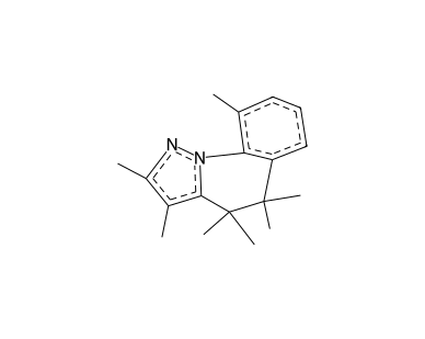 Cc1cccc2c1-n1nc(C)c(C)c1C(C)(C)C2(C)C